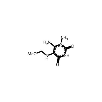 COCNc1c(N)n(C)c(=O)[nH]c1=O